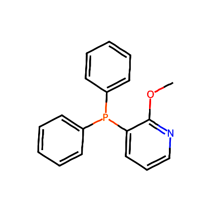 COc1ncccc1P(c1ccccc1)c1ccccc1